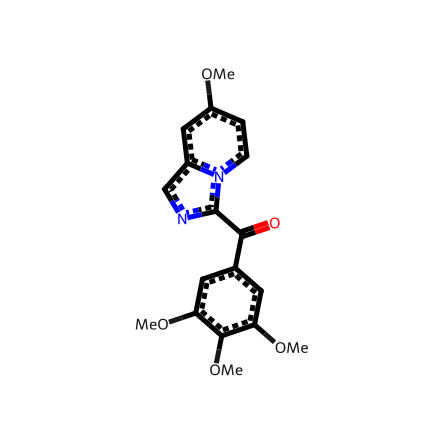 COc1ccn2c(C(=O)c3cc(OC)c(OC)c(OC)c3)ncc2c1